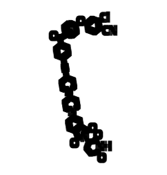 N#Cc1ccc(OC2CC3CCC2CN3C(=O)c2ccc(C#CC3CCN(C4CCN(c5ccc6c(c5)C(=O)N(C5CCC(=O)NC5=O)C6=O)CC4)CC3)cc2)cc1Cl